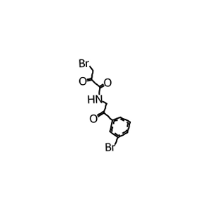 O=C(CBr)C(=O)NCC(=O)c1cccc(Br)c1